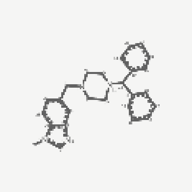 Cn1[c]nc2cc(CN3CCN(C(c4ccccc4)c4ccccc4)CC3)ccc21